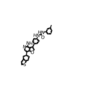 Cc1cccc(NC(=O)Nc2ccc(-c3coc4c(-c5ccc6sccc6c5)cnc(N)c34)cc2)c1